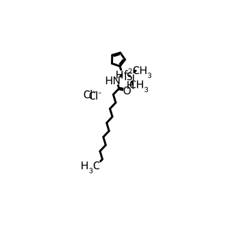 CCCCCCCCCCCC(=O)[NH][Hf+2]([C]1=CC=CC1)[SiH](C)C.[Cl-].[Cl-]